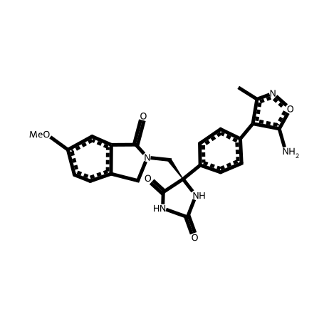 COc1ccc2c(c1)C(=O)N(C[C@@]1(c3ccc(-c4c(C)noc4N)cc3)NC(=O)NC1=O)C2